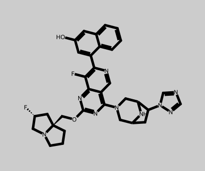 Oc1cc(-c2ncc3c(N4CC5CC(n6cncn6)C(C4)N5)nc(OC[C@@]45CCCN4C[C@H](F)C5)nc3c2F)c2ccccc2c1